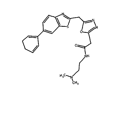 CN(C)CCNC(=O)Cc1nnc(Cc2nc3ccc(C4=CCCC=C4)cc3s2)o1